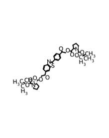 CC(C)(C)OC(=O)N1CCCC1C(=O)OCC(=O)c1ccc(-c2nc3ccc(C(=O)COC(=O)[C@@H]4CCCN4C(=O)OC(C)(C)C)cc3s2)cc1